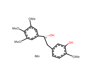 COc1ccc(C[C@@H](O)c2cc(OC)c(OC)c(OC)c2)cc1O.[Mn]